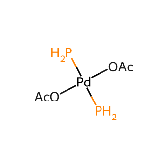 CC(=O)[O][Pd]([PH2])([PH2])[O]C(C)=O